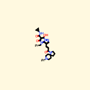 CC(C)Cn1c(=O)c(C(=O)NC2CC2)c(O)n2ncc(C=CC(=O)N3CCCC34CCN(C(C)C)CC4)c12